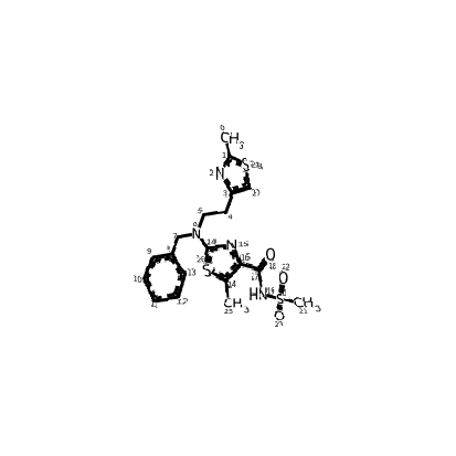 Cc1nc(CCN(Cc2ccccc2)c2nc(C(=O)NS(C)(=O)=O)c(C)s2)cs1